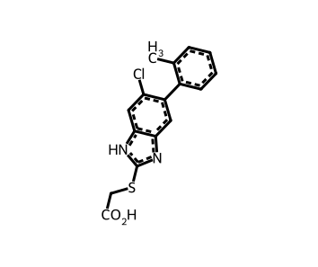 Cc1ccccc1-c1cc2nc(SCC(=O)O)[nH]c2cc1Cl